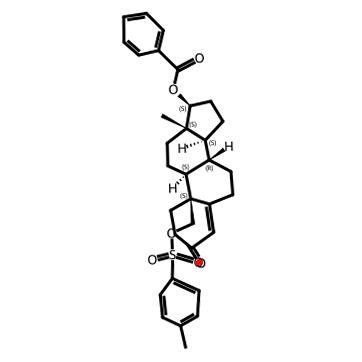 Cc1ccc(S(=O)(=O)OC[C@]23CCC(=O)C=C2CC[C@@H]2[C@@H]3CC[C@]3(C)[C@@H](OC(=O)c4ccccc4)CC[C@@H]23)cc1